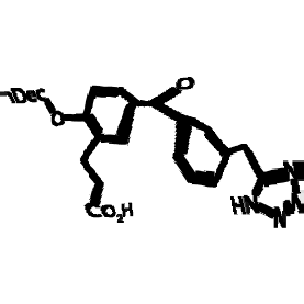 CCCCCCCCCCOc1ccc(C(=O)c2cccc(Cc3nnn[nH]3)c2)cc1CCC(=O)O